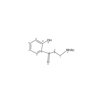 CC(=O)NCSC(=O)c1ccccc1O